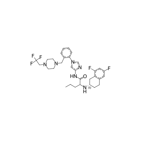 CCCC(N[C@H]1CCc2cc(F)cc(F)c2C1)C(=O)Nc1cn(-c2ccccc2CN2CCN(CC(F)(F)F)CC2)cn1